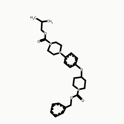 CC(C)COC(=O)N1CCN(c2ccc(OC3CCN(C(=O)OCc4ccccc4)CC3)cc2)CC1